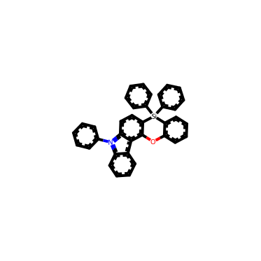 c1ccc(-n2c3ccccc3c3c4c(ccc32)[Si](c2ccccc2)(c2ccccc2)c2ccccc2O4)cc1